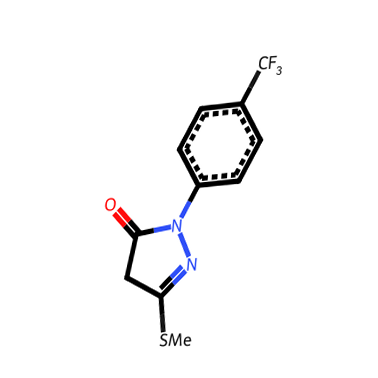 CSC1=NN(c2ccc(C(F)(F)F)cc2)C(=O)C1